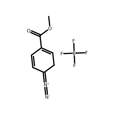 COC(=O)C1=CCC(=[N+]=[N-])C=C1.F[B-](F)(F)F